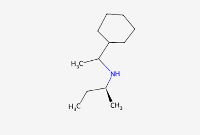 CC[C@H](C)NC(C)C1CCCCC1